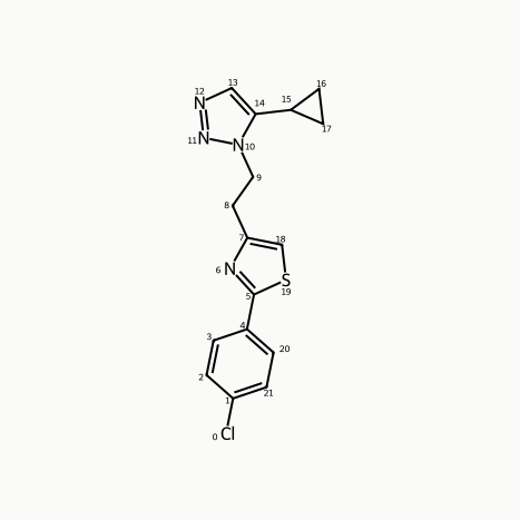 Clc1ccc(-c2nc(CCn3nncc3C3CC3)cs2)cc1